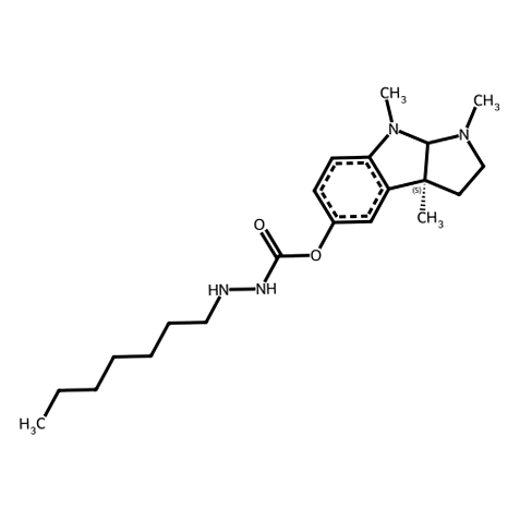 CCCCCCCNNC(=O)Oc1ccc2c(c1)[C@]1(C)CCN(C)C1N2C